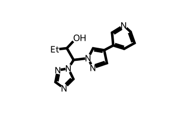 CCC(O)C(n1cncn1)n1cc(-c2cccnc2)cn1